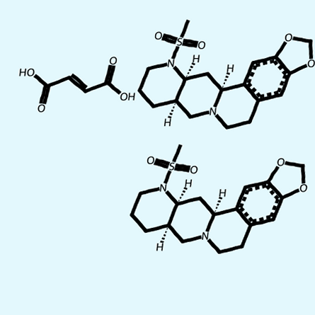 CS(=O)(=O)N1CCC[C@@H]2CN3CCc4cc5c(cc4[C@@H]3C[C@@H]21)OCO5.CS(=O)(=O)N1CCC[C@@H]2CN3CCc4cc5c(cc4[C@@H]3C[C@@H]21)OCO5.O=C(O)/C=C/C(=O)O